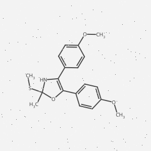 COc1ccc(C2=C(c3ccc(OC)cc3)OC(C)(SC)N2)cc1